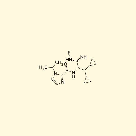 CC(C)n1ncnc1C(=O)N[C@H](C(=N)NF)C(C1CC1)C1CC1